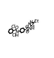 CCc1nnc(NS(=O)(=O)c2ccc(NC(=O)c3c(Cl)cccc3Cl)cc2)s1